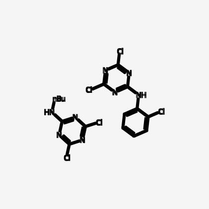 CCCCNc1nc(Cl)nc(Cl)n1.Clc1nc(Cl)nc(Nc2ccccc2Cl)n1